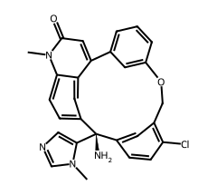 Cn1cncc1[C@@]1(N)c2ccc(Cl)c(c2)COc2cccc(c2)-c2cc(=O)n(C)c3ccc1cc23